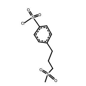 CS(=O)(=O)CCCc1ccc(S(=O)(=O)Cl)cc1